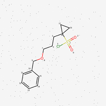 O=S(=O)(Cl)C1(CCCOCc2ccccc2)CC1